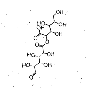 O=C[C@H](O)[C@@H](O)[C@H](O)[C@H](O)C(=O)O[C@@H](C(=O)O)[C@H](O)[C@@H](O)[C@H](O)CO